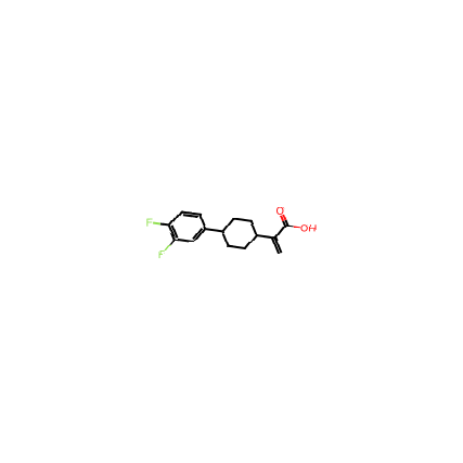 C=C(C(=O)O)C1CCC(c2ccc(F)c(F)c2)CC1